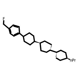 CCC[C@H]1CC[C@H]([C@H]2CC[C@H](C3CCC(c4ccc(CF)cc4)CC3)CC2)CC1